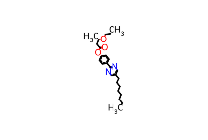 CCCCCCCCc1cnc(-c2ccc(OC(=O)CC(C)OCCC)cc2)nc1